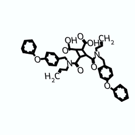 C=CCN(Cc1ccc(Oc2ccccc2)cc1)C(=O)C1C(C(=O)O)C(C(=O)O)C1C(=O)N(CC=C)Cc1ccc(Oc2ccccc2)cc1